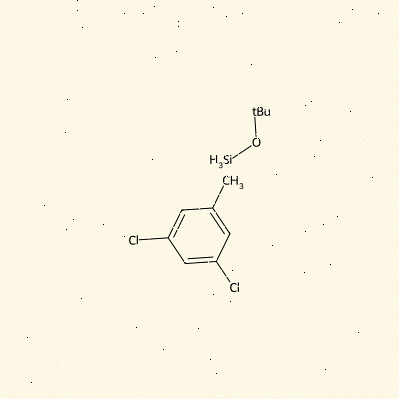 CC(C)(C)O[SiH3].Cc1cc(Cl)cc(Cl)c1